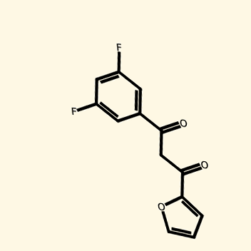 O=C(CC(=O)c1ccco1)c1cc(F)cc(F)c1